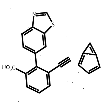 C#Cc1cccc(C(=O)O)c1-c1ccc2ncsc2c1.c1cc2cc-2c1